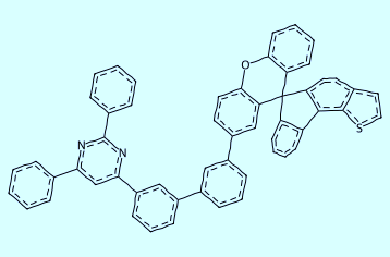 c1ccc(-c2cc(-c3cccc(-c4cccc(-c5ccc6c(c5)C5(c7ccccc7O6)c6ccccc6-c6c5ccc5ccsc65)c4)c3)nc(-c3ccccc3)n2)cc1